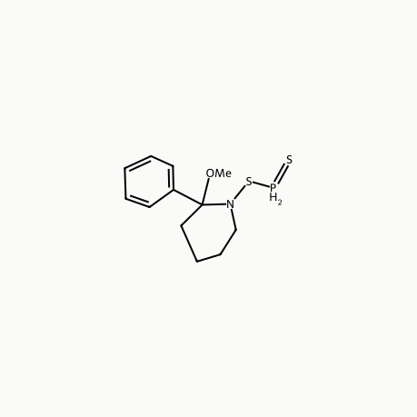 COC1(c2ccccc2)CCCCN1S[PH2]=S